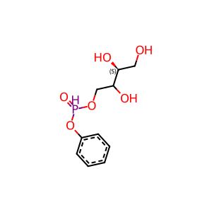 O=[PH](OCC(O)[C@@H](O)CO)Oc1ccccc1